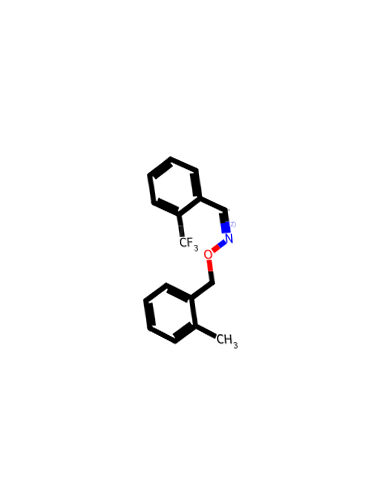 Cc1ccccc1CO/N=[C]\c1ccccc1C(F)(F)F